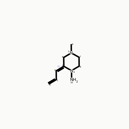 C=C/C=C1/CN(C)CCN1N